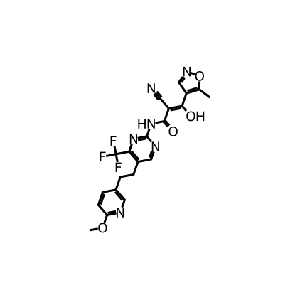 COc1ccc(CCc2cnc(NC(=O)/C(C#N)=C(\O)c3cnoc3C)nc2C(F)(F)F)cn1